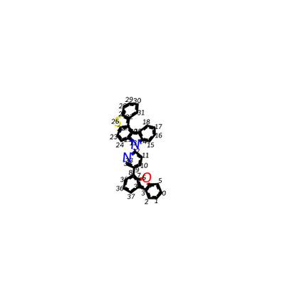 c1ccc2c(c1)oc1c(-c3ccc(-n4c5ccccc5c5c6c(ccc54)sc4ccccc46)nc3)cccc12